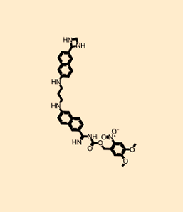 COc1cc(COC(=O)NC(=N)c2ccc3cc(NCCCNc4ccc5cc(C6NCN6)ccc5c4)ccc3c2)c([N+](=O)[O-])cc1OC